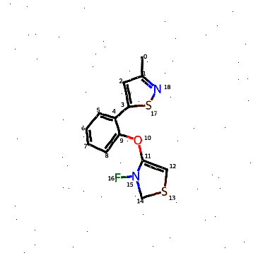 Cc1cc(-c2ccccc2OC2=CSCN2F)sn1